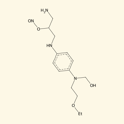 CCOCCN(CO)c1ccc(NCC(CN)ON=O)cc1